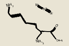 NCCCCC(N)C(=O)O.[N-]=[N+]=[N-]